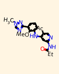 CCC(=O)Nc1cc(Nc2cccc(-c3ncn(C)n3)c2OC)c(C(C)=O)cn1